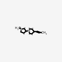 CC#CC1CCN(C2CCN(C)C2)CC1